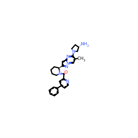 Cc1cn2nc([C@@H]3CCCCN3C(=O)c3cc(-c4ccccc4)ccn3)cc2nc1N1CC[C@H](N)C1